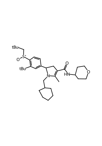 CC1=C(C(=O)NC2CCOCC2)CC(c2ccc([S+]([O-])CC(C)(C)C)c(C(C)(C)C)c2)N1CC1CCCCC1